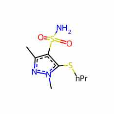 CCCSc1c(S(N)(=O)=O)c(C)nn1C